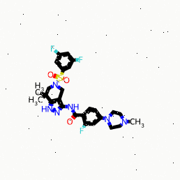 CN1CCN(c2ccc(C(=O)Nc3n[nH]c4c3CN(S(=O)(=O)c3cc(F)cc(F)c3)CC4(C)C)c(F)c2)CC1